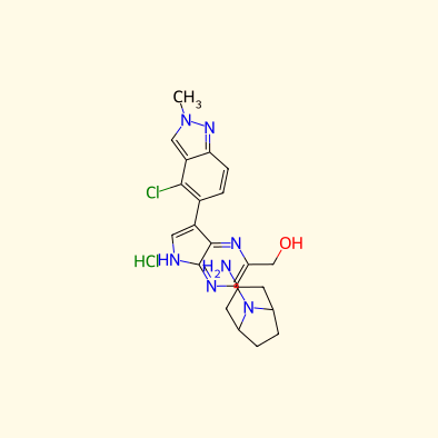 Cl.Cn1cc2c(Cl)c(-c3c[nH]c4nc(N5C6CCC5CC(N)C6)c(CO)nc34)ccc2n1